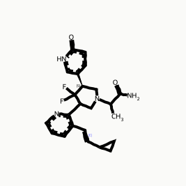 CC(C(N)=O)N1CC(c2ncccc2/C=C/C2CC2)C(F)(F)[C@@H](c2ccc(=O)[nH]c2)C1